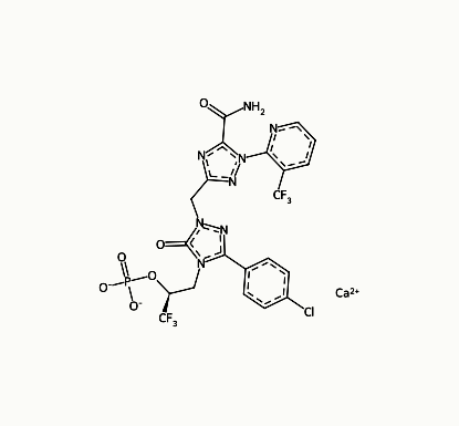 NC(=O)c1nc(Cn2nc(-c3ccc(Cl)cc3)n(C[C@H](OP(=O)([O-])[O-])C(F)(F)F)c2=O)nn1-c1ncccc1C(F)(F)F.[Ca+2]